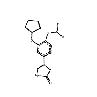 O=C1CC(c2ccc(OC(F)F)c(OC3CCCC3)c2)CN1